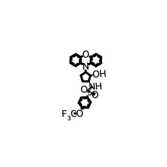 O=S(=O)(N[C@@H]1CCC(N2c3ccccc3Oc3ccccc32)[C@H]1O)c1ccc(OC(F)(F)F)cc1